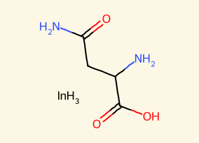 NC(=O)CC(N)C(=O)O.[InH3]